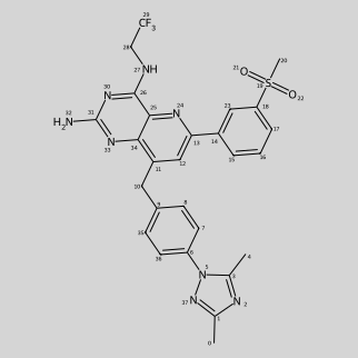 Cc1nc(C)n(-c2ccc(Cc3cc(-c4cccc(S(C)(=O)=O)c4)nc4c(NCC(F)(F)F)nc(N)nc34)cc2)n1